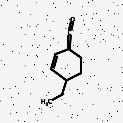 C[CH]C1C=CC(=C=O)CC1